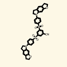 N#Cc1cc(S(=O)(=O)c2ccc(N3CCc4cc5c(cc43)OCC5)cc2)cc(S(=O)(=O)c2ccc(N3CCc4cc5c(cc43)OCC5)cc2)c1